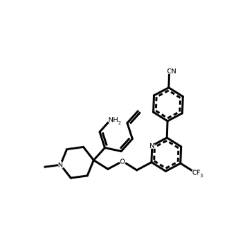 C=C/C=C\C(=C/N)C1(COCc2cc(C(F)(F)F)cc(-c3ccc(C#N)cc3)n2)CCN(C)CC1